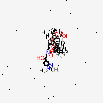 Cc1nc2cc([C@@H](O)CCN(CCC[C@H](C)[C@H](O[Si](C)(C)C(C)(C)C)[C@@H](C)C(=O)C(C)(C)[C@H](CC(=O)O)O[Si](C)(C)C(C)(C)C)C(=O)OC(C)(C)C)ccc2n1C